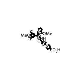 COC[C@@H]1CCCN1Cc1sc(NC(=O)c2cnc(N3CCC(C(=O)O)CC3)cn2)nc1-c1cc(Cl)c(OC)c(Cl)c1